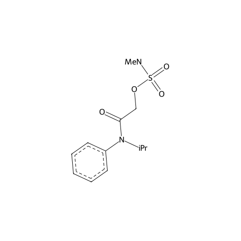 CNS(=O)(=O)OCC(=O)N(c1ccccc1)C(C)C